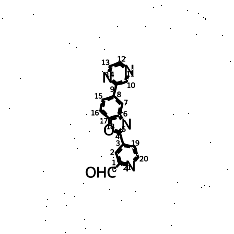 O=Cc1cc(-c2nc3cc(-c4cnccn4)ccc3o2)ccn1